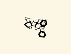 CC(C)(C)C(O[SiH](c1ccccc1)c1ccccc1)[C@@H]1C[C@H](O)CCO1